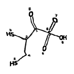 O=C(C(S)CS)S(=O)(=O)O